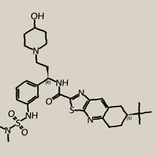 CN(C)S(=O)(=O)Nc1cccc([C@@H](CCN2CCC(O)CC2)NC(=O)c2nc3cc4c(nc3s2)CC[C@H](C(C)(C)C)C4)c1